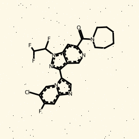 O=C(c1cc2c(cn1)c(-c1cnc3cc(F)c(Cl)cn13)nn2C(F)C(F)F)N1CCCCCC1